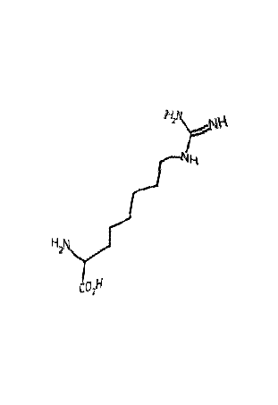 N=C(N)NCCCCCCC(N)C(=O)O